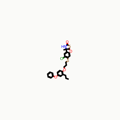 CCCc1cc(Oc2ccccc2)ccc1OCCCSc1ccc(C2(C)NC(=O)SC2=O)cc1Cl